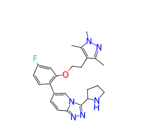 Cc1nn(C)c(C)c1CCOc1cc(F)ccc1-c1ccc2nnc(C3CCCN3)n2c1